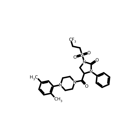 Cc1ccc(C)c(N2CCN(C(=O)C3CN(S(=O)(=O)CCC(F)(F)F)C(=O)N3c3ccccc3)CC2)c1